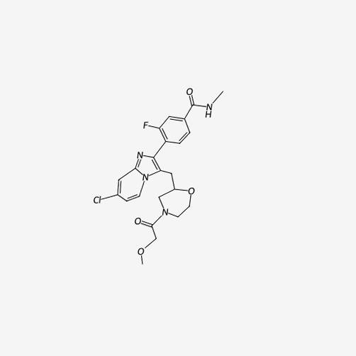 CNC(=O)c1ccc(-c2nc3cc(Cl)ccn3c2CC2CN(C(=O)COC)CCO2)c(F)c1